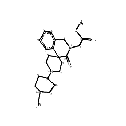 CC(C)OC(=O)CN1Cc2ccccc2C2(CCN(C3CCC(C(C)C)CC3)CC2)C1=O